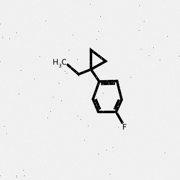 C[CH]C1(c2ccc(F)cc2)CC1